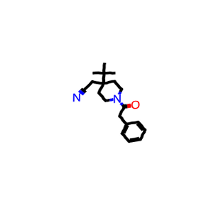 CC(C)(C)C1(CC#N)CCN(C(=O)Cc2ccccc2)CC1